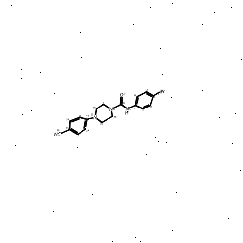 CC(C)c1ccc(NC(=O)N2CCN(c3ccc(C#N)cc3)CC2)cc1